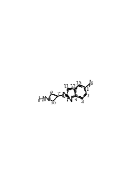 Ic1ccc2nn(C3CNC3)cc2c1